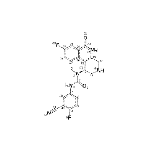 CN(C(=O)Nc1ccc(F)c(C#N)c1)[C@@H]1CNCc2[nH]c(=O)c3cc(F)ccc3c21